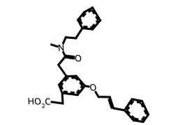 CN(CCc1ccccc1)C(=O)Cc1cc(CC(=O)O)cc(OCC=Cc2ccccc2)c1